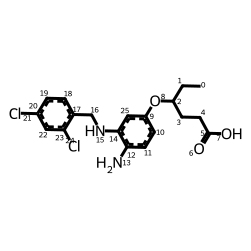 CCC(CCC(=O)O)Oc1ccc(N)c(NCc2ccc(Cl)cc2Cl)c1